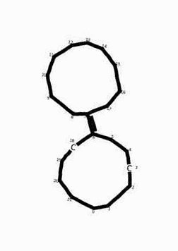 C1CCCCCC(=C2CCCCCCCCCC2)CCCC1